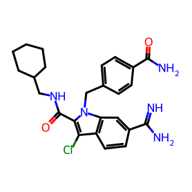 N=C(N)c1ccc2c(Cl)c(C(=O)NCC3CCCCC3)n(Cc3ccc(C(N)=O)cc3)c2c1